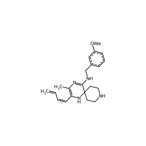 C=C/C=C\C1=C(C)N=C(NCc2cccc(OC)c2)C2(CCNCC2)N1